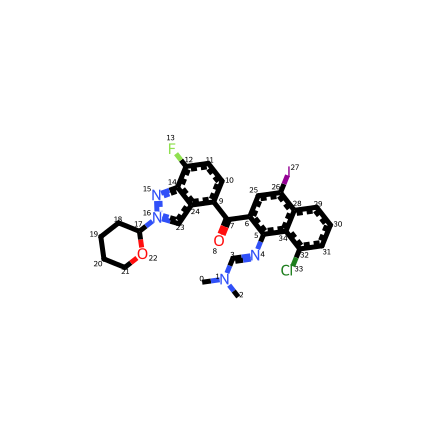 CN(C)/C=N/c1c(C(=O)c2ccc(F)c3nn(C4CCCCO4)cc23)cc(I)c2cccc(Cl)c12